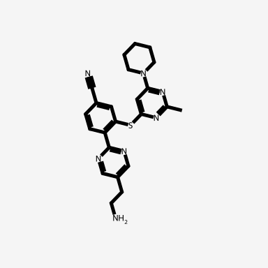 Cc1nc(Sc2cc(C#N)ccc2-c2ncc(CCN)cn2)cc(N2CCCCC2)n1